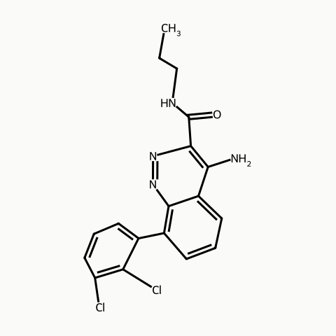 CCCNC(=O)c1nnc2c(-c3cccc(Cl)c3Cl)cccc2c1N